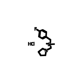 C[Si](C)(Cc1ccc(F)cc1)CN1CCCC1.Cl